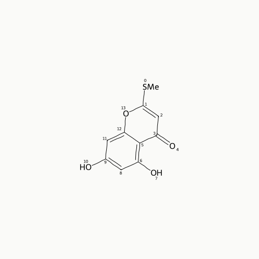 CSc1cc(=O)c2c(O)cc(O)cc2o1